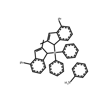 CC1=Cc2c(C(C)C)cccc2C1[Si](c1ccccc1)(c1ccccc1)C1C(C)=Cc2c(C(C)C)cccc21.[SiH3]c1ccccc1